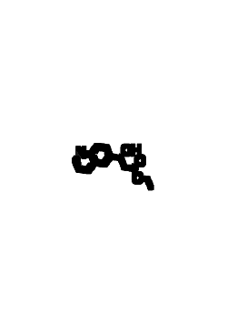 CCOC(=O)C[C@H](O)c1ccc2ncccc2c1